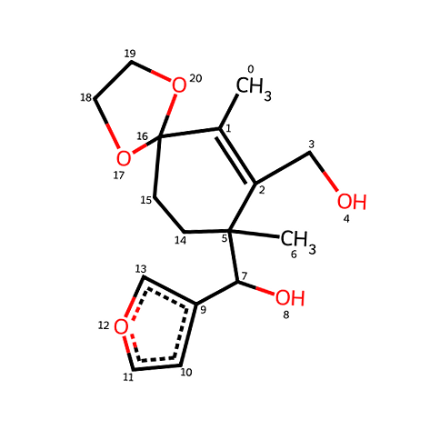 CC1=C(CO)C(C)(C(O)c2ccoc2)CCC12OCCO2